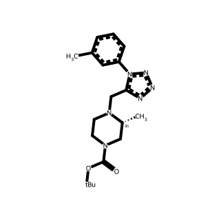 Cc1cccc(-n2nnnc2CN2CCN(C(=O)OC(C)(C)C)C[C@H]2C)c1